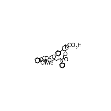 COCCCCN(C(=O)COC1CN(C(=O)O)CCC1c1ccc(OCCCOCc2ccccc2OC)cc1)c1ccccc1